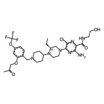 CC[C@H]1CN(c2nc(N)c(C(=O)NCCO)nc2Cl)CCN1C1CCN(Cc2ccc(OC(F)(F)F)cc2OCC(C)=O)CC1